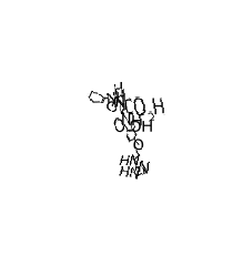 O=C(NC1CCCCC1)N[C@@H](CNC(=O)c1ccc(OCCNC2=NCCN2)cc1O)C(=O)O